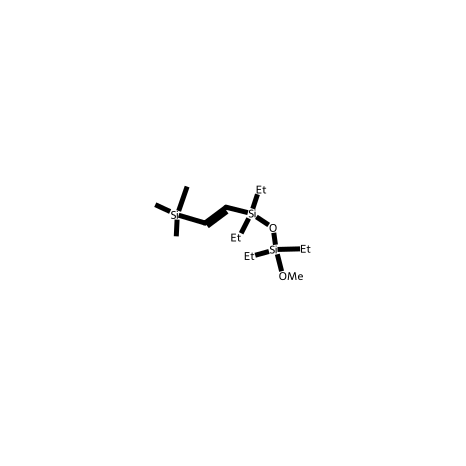 CC[Si](C=C[Si](C)(C)C)(CC)O[Si](CC)(CC)OC